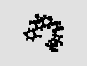 Cc1[c]cncc1-c1cc2cc(NC(=O)OC3CC(C)(O[Si](C)(C)C(C)(C)C)C3)ncc2c(Cl)c1F